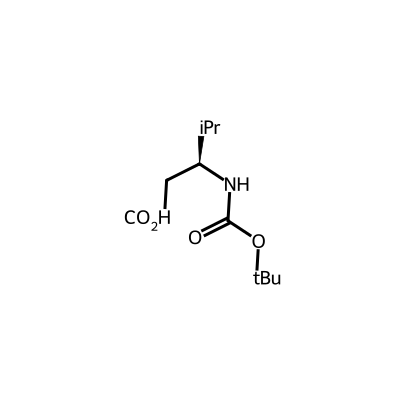 CC(C)[C@H](CC(=O)O)NC(=O)OC(C)(C)C